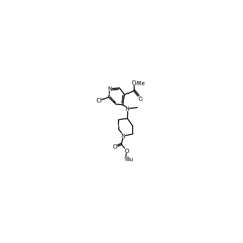 COC(=O)c1cnc(Cl)cc1N(C)C1CCN(C(=O)OC(C)(C)C)CC1